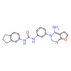 NC1=c2ccoc2=NCN1c1cccc(NC(=O)Nc2ccc3c(c2)CCC3)c1